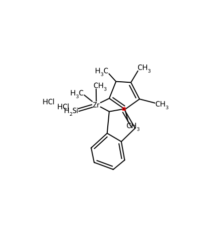 CC1=C(C)C(C)[C]([Zr]([CH3])([CH3])(=[SiH2])[CH]2C=Cc3ccccc32)=C1C.Cl.Cl